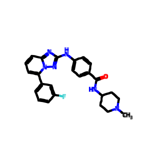 CN1CCC(NC(=O)c2ccc(Nc3nc4cccc(-c5cccc(F)c5)n4n3)cc2)CC1